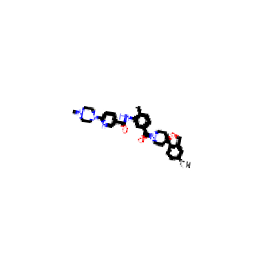 Cc1ccc(C(=O)N2CCC3(CC2)OCc2cc(C#N)ccc23)cc1NC(=O)c1ccc(N2CCN(C)CC2)nc1